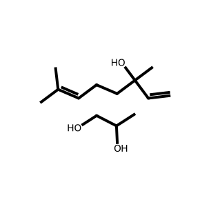 C=CC(C)(O)CCC=C(C)C.CC(O)CO